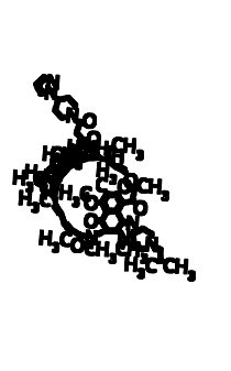 CC[C@H]1/C=C/O[C@@]2(C)Oc3c(C)c(OC)c4c(c3C2=O)C2=NC3(CCN(CC(C)C)CC3)N(C)C2=C(C4=O)N(C)C(=O)/C(C)=C\C=C\[C@H](C)[C@H](OC)[C@@H](C)[C@@H](OC)[C@@H](C)[C@H](OC(=O)CC(=O)N2CCC(n3cccn3)CC2)[C@@H]1C